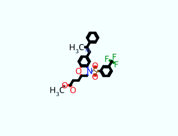 COC(=O)CCC1CN(S(=O)(=O)c2cccc(C(F)(F)F)c2)c2cc(/C=C(\C)c3ccccc3)ccc2O1